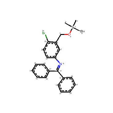 CC(C)(C)[Si](C)(C)OCc1cc(N=C(c2ccccc2)c2ccccc2)ccc1Br